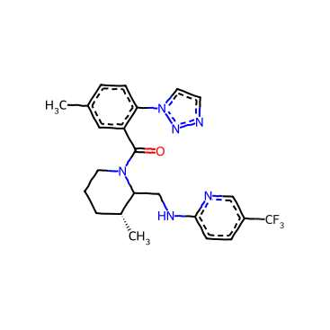 Cc1ccc(-n2ccnn2)c(C(=O)N2CCC[C@@H](C)C2CNc2ccc(C(F)(F)F)cn2)c1